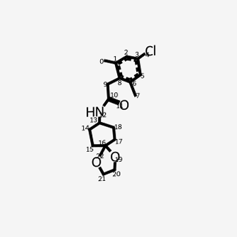 Cc1cc(Cl)cc(C)c1CC(=O)NC1CCC2(CC1)OCCO2